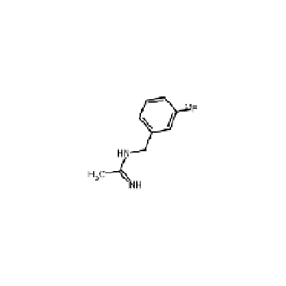 CC(=N)NCc1cccc([18F])c1